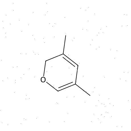 CC1=COCC(C)=C1